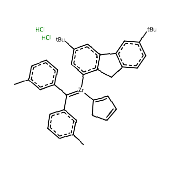 Cc1cccc([C](c2cccc(C)c2)=[Zr]([C]2=CC=CC2)[c]2cc(C(C)(C)C)cc3c2Cc2ccc(C(C)(C)C)cc2-3)c1.Cl.Cl